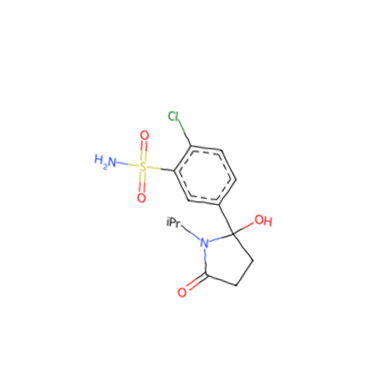 CC(C)N1C(=O)CCC1(O)c1ccc(Cl)c(S(N)(=O)=O)c1